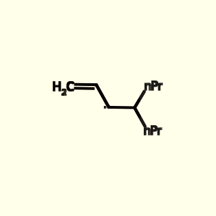 C=C[CH]C(CCC)CCC